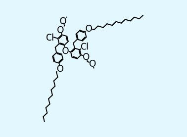 CCCCCCCCCCCCOc1ccc(Cc2c(Oc3ccc(OCOC)c(Cl)c3Cc3ccc(OCCCCCCCCCCCC)cc3)ccc(OCOC)c2Cl)cc1